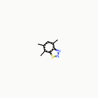 Cc1cc(C)c2nnsc2c1C